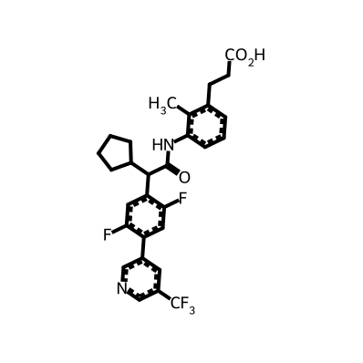 Cc1c(CCC(=O)O)cccc1NC(=O)C(c1cc(F)c(-c2cncc(C(F)(F)F)c2)cc1F)C1CCCC1